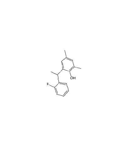 Cc1cc(C)c(O)c(C(C)c2ccccc2F)c1